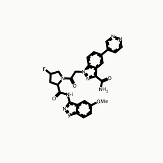 COc1ccc2snc(NC(=O)C3CC(F)CN3C(=O)Cn3nc(C(N)=O)c4cc(-c5ccnnc5)ccc43)c2c1